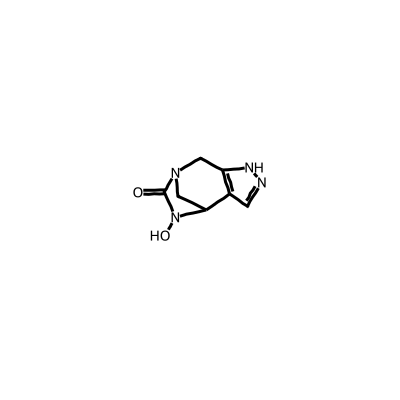 O=C1N2Cc3[nH]ncc3C(C2)N1O